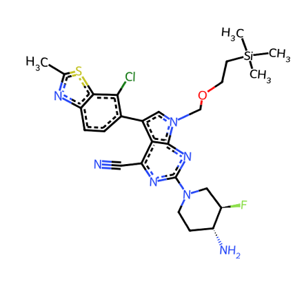 Cc1nc2ccc(-c3cn(COCC[Si](C)(C)C)c4nc(N5CC[C@@H](N)[C@H](F)C5)nc(C#N)c34)c(Cl)c2s1